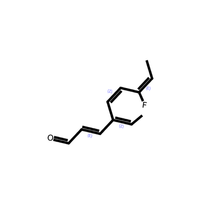 C/C=C(\C=C/C(F)=C\C)/C=C/C=O